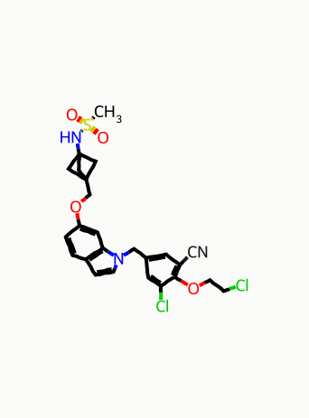 CS(=O)(=O)NC12CC(COc3ccc4ccn(Cc5cc(Cl)c(OCCCl)c(C#N)c5)c4c3)(C1)C2